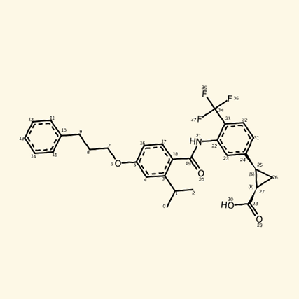 CC(C)c1cc(OCCCc2ccccc2)ccc1C(=O)Nc1cc([C@H]2C[C@H]2C(=O)O)ccc1C(F)(F)F